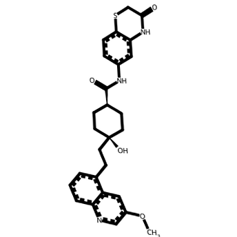 COc1cnc2cccc(CC[C@]3(O)CC[C@@H](C(=O)Nc4ccc5c(c4)NC(=O)CS5)CC3)c2c1